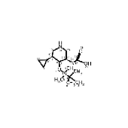 CC(C)(C)[Si](C)(C)O[C@H]1[C@@H](C2CC2)CNC[C@H]1NC(=O)O